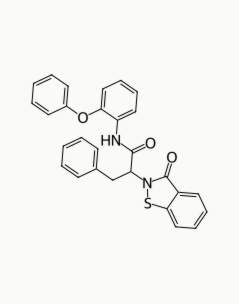 O=C(Nc1ccccc1Oc1ccccc1)C(Cc1ccccc1)n1sc2ccccc2c1=O